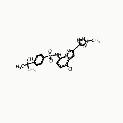 Cn1nnc(-c2cc3c(Cl)ccc(NS(=O)(=O)c4ccc(C(C)(C)C)cc4)n3n2)n1